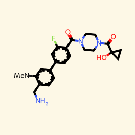 CNc1cc(-c2ccc(C(=O)N3CCN(C(=O)C4(O)CC4)CC3)c(F)c2)ccc1CN